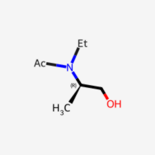 CCN(C(C)=O)[C@H](C)CO